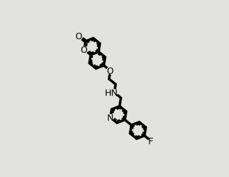 O=c1ccc2cc(OCCNCc3cncc(-c4ccc(F)cc4)c3)ccc2o1